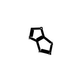 c1nc2nnsc2o1